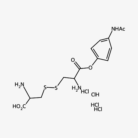 CC(=O)Nc1ccc(OC(=O)C(N)CSSCC(N)C(=O)O)cc1.Cl.Cl.Cl.Cl